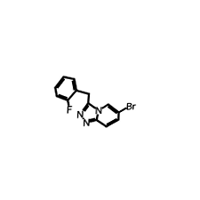 Fc1ccccc1Cc1nnc2ccc(Br)cn12